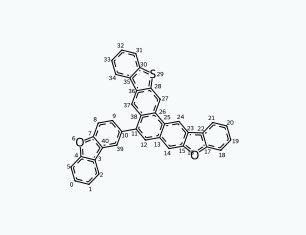 c1ccc2c(c1)oc1ccc(-c3cc4cc5oc6ccccc6c5cc4c4cc5sc6ccccc6c5cc34)cc12